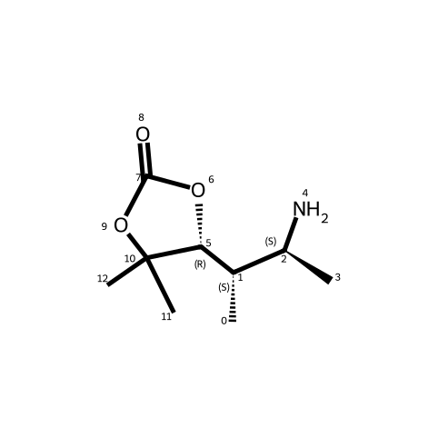 C[C@@H]([C@H](C)N)[C@H]1OC(=O)OC1(C)C